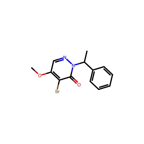 COc1cnn(C(C)c2ccccc2)c(=O)c1Br